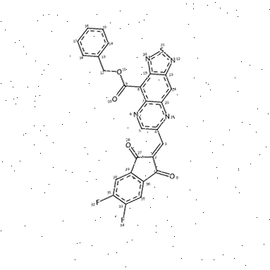 O=C1C(=Cc2cnc3c(C(=O)OCc4ccccc4)c4nsnc4cc3n2)C(=O)c2cc(F)c(F)cc21